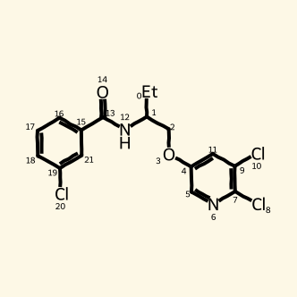 [CH2]CC(COc1cnc(Cl)c(Cl)c1)NC(=O)c1cccc(Cl)c1